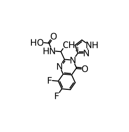 CC(NC(=O)O)c1nc2c(F)c(F)ccc2c(=O)n1-c1cc[nH]n1